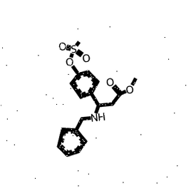 COC(=O)CC(NCc1ccccc1)c1ccc(OS(C)(=O)=O)cc1